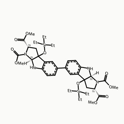 CC[Si](CC)(CC)OC12C[C@@H](C(=O)OC)N(C(=O)OC)[C@@H]1Nc1ccc(-c3ccc4c(c3)C3(O[Si](CC)(CC)CC)C[C@@H](C(=O)OC)N(C(=O)OC)[C@@H]3N4)cc12